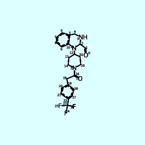 O=CC1NCc2ccccc2N1C1CCN(C(=O)Cc2ccc(C(F)(F)F)cc2)CC1